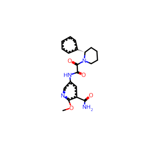 COc1ncc(NC(=O)C(=O)N2CCCC[C@H]2c2ccccc2)cc1C(N)=O